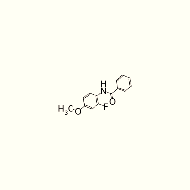 COc1ccc(NC(=O)c2ccccc2)c(F)c1